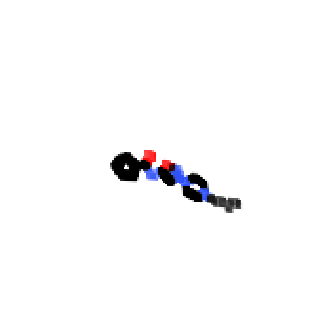 CCOC(=O)N1CCN([n+]2cc([N-]C(=O)c3ccccc3)on2)CC1